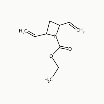 C=CC1CC(C=C)N1C(=O)OCC